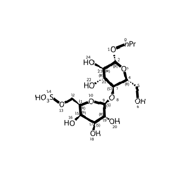 CCCO[C@@H]1O[C@H](CO)[C@@H](O[C@@H]2O[C@H](COS(=O)(=O)O)[C@H](O)[C@H](O)[C@H]2O)[C@H](O)[C@H]1O